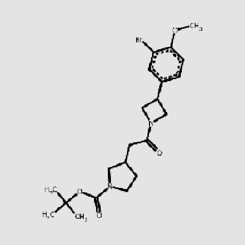 COc1ccc(C2CN(C(=O)CC3CCN(C(=O)OC(C)(C)C)C3)C2)cc1Br